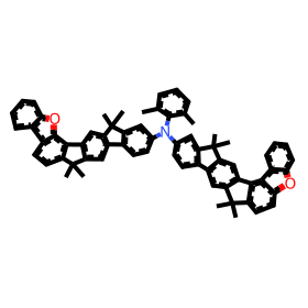 Cc1cccc(C)c1N(c1ccc2c(c1)C(C)(C)c1cc3c(cc1-2)C(C)(C)c1ccc2c(oc4ccccc42)c1-3)c1ccc2c(c1)C(C)(C)c1cc3c(cc1-2)C(C)(C)c1ccc2oc4ccccc4c2c1-3